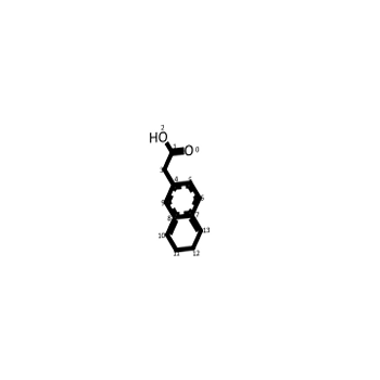 O=C(O)Cc1ccc2c(c1)=CCCC=2